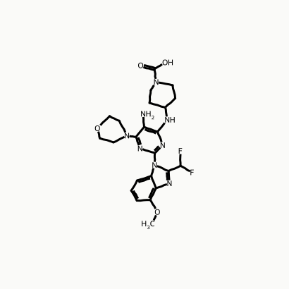 COc1cccc2c1nc(C(F)F)n2-c1nc(NC2CCN(C(=O)O)CC2)c(N)c(N2CCOCC2)n1